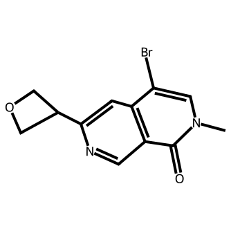 Cn1cc(Br)c2cc(C3COC3)ncc2c1=O